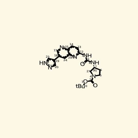 CC(C)(C)OC(=O)N1CC[C@@H](NC(=O)Nc2ccc3ncc(-c4cn[nH]c4)cc3n2)C1